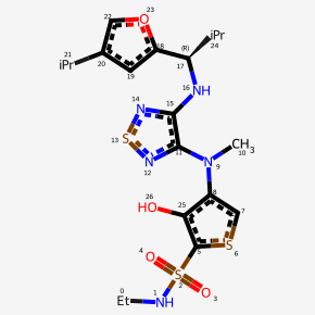 CCNS(=O)(=O)c1scc(N(C)c2nsnc2N[C@@H](c2cc(C(C)C)co2)C(C)C)c1O